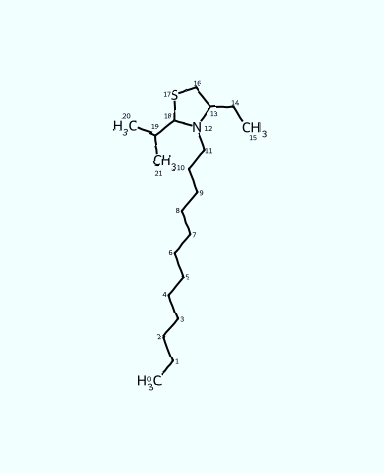 CCCCCCCCCCCCN1C(CC)CSC1C(C)C